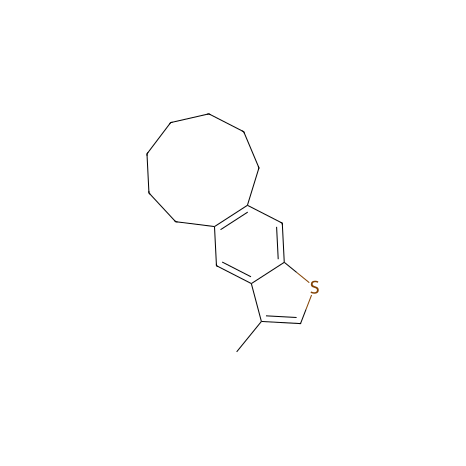 Cc1csc2cc3c(cc12)CCCCCCC3